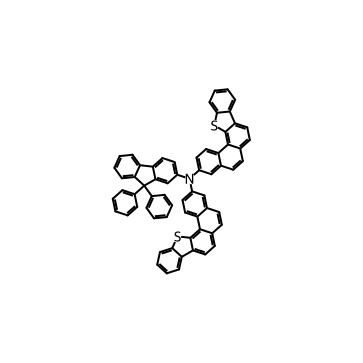 c1ccc(C2(c3ccccc3)c3ccccc3-c3ccc(N(c4ccc5c(ccc6ccc7c8ccccc8sc7c65)c4)c4ccc5c(ccc6ccc7c8ccccc8sc7c65)c4)cc32)cc1